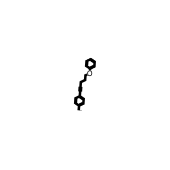 [CH2]c1ccc(C#CCCCOc2ccccc2)cc1